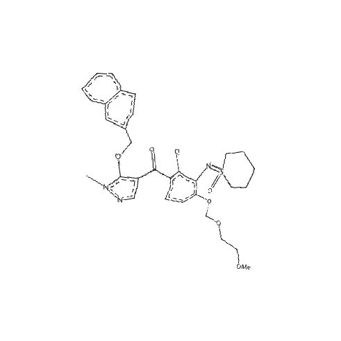 COCCOCOc1ccc(C(=O)c2cnn(C)c2OCc2ccc3ccccc3c2)c(Cl)c1N=S1(=O)CCCCC1